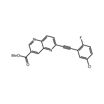 COC(=O)c1cnc2ccc(C#Cc3cc(Cl)ccc3F)nc2c1